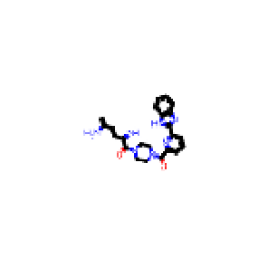 C=C(N)CCC(=N)C(=O)N1CCN(C(=O)c2cccc(-c3nc4ccccc4[nH]3)n2)CC1